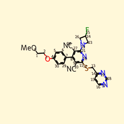 COCCOc1ccc(-c2c(C#N)c(SCc3ccncn3)nc(N3CC(F)C3)c2C#N)cc1